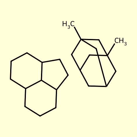 C1CC2CCCC3CCC(C1)C23.CC12CC3CC(C1)CC(C)(C3)C2